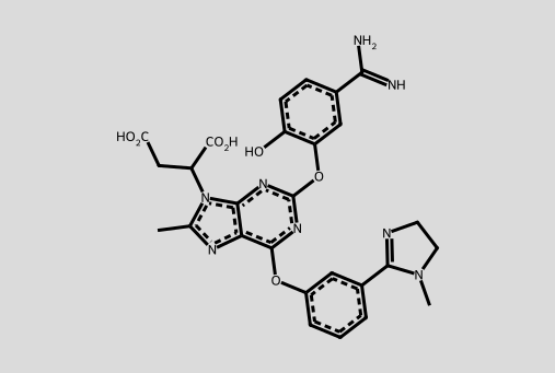 Cc1nc2c(Oc3cccc(C4=NCCN4C)c3)nc(Oc3cc(C(=N)N)ccc3O)nc2n1C(CC(=O)O)C(=O)O